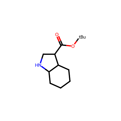 CC(C)(C)OC(=O)C1CNC2CCCCC21